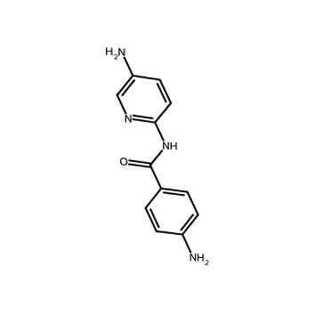 Nc1ccc(C(=O)Nc2ccc(N)cn2)cc1